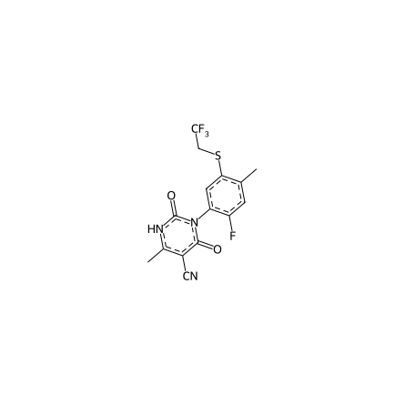 Cc1cc(F)c(-n2c(=O)[nH]c(C)c(C#N)c2=O)cc1SCC(F)(F)F